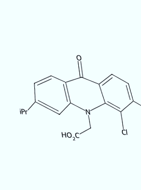 CC(C)c1ccc2c(=O)c3ccc(I)c(Cl)c3n(CC(=O)O)c2c1